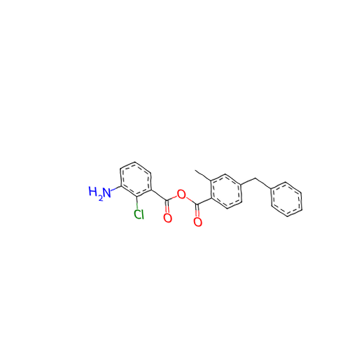 Cc1cc(Cc2ccccc2)ccc1C(=O)OC(=O)c1cccc(N)c1Cl